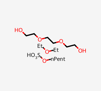 CCCCCOS(=O)(=O)O.CCOCC.OCCOCCOCCO